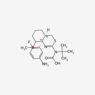 COC1CCC[C@H]2CSC(N(C(=O)O)C(C)(C)C)=N[C@@]12c1cc(N)ccc1F